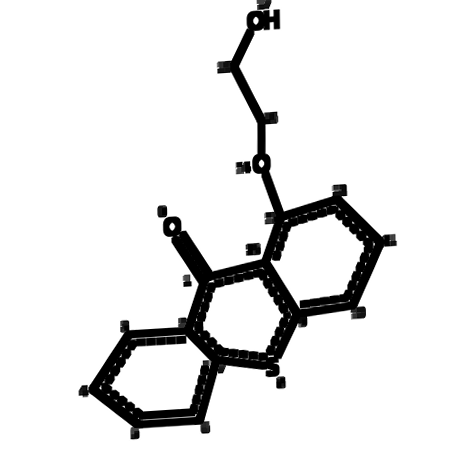 O=c1c2ccccc2sc2cccc(OCCO)c12